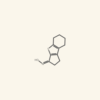 ON=C1CCc2c1sc1c2CCCC1